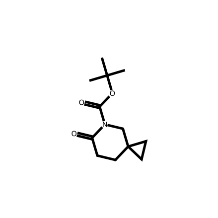 CC(C)(C)OC(=O)N1CC2(CCC1=O)CC2